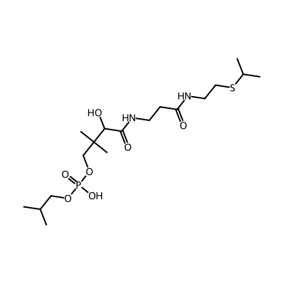 CC(C)COP(=O)(O)OCC(C)(C)C(O)C(=O)NCCC(=O)NCCSC(C)C